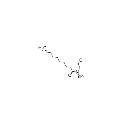 C=CCCCCCCCC(=O)N(CCC)CCO